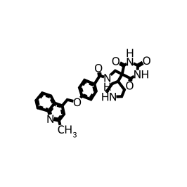 Cc1cc(COc2ccc(C(=O)NCC3(C4CCNCC4)C(=O)NC(=O)NC3=O)cc2)c2ccccc2n1